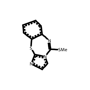 CSC1=Nc2ccccc2Sc2nccn21